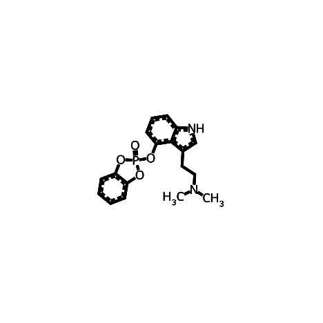 CN(C)CCc1c[nH]c2cccc(OP3(=O)Oc4ccccc4O3)c12